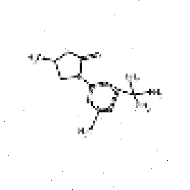 Cc1cc(N2C[C@@H](C)CC2=O)cc(C(P)(P)P)c1